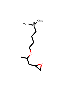 CO[SiH](CCCCOC(C)CC1CO1)OC